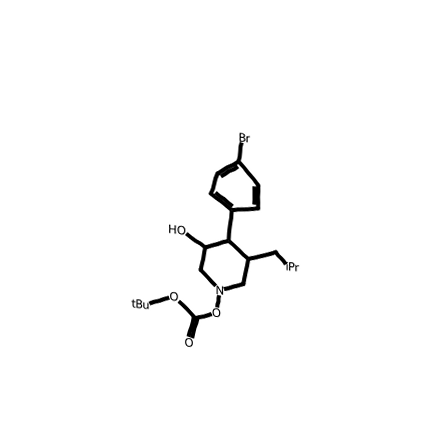 CC(C)CC1CN(OC(=O)OC(C)(C)C)CC(O)C1c1ccc(Br)cc1